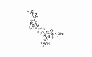 CCC(C)CCNC(=O)c1nc(OCC2(C#N)CC2)nc(N2CCC(COc3cc(-c4cn(C)nn4)cnc3N)CC2)n1